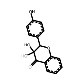 O=C1c2ccccc2OC(c2ccc(O)cc2)C1(O)O